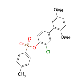 COc1ccc(OC)c(-c2ccc(OS(=O)(=O)c3ccc(C)cc3)c(Cl)c2)c1